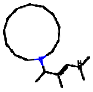 CC(=C[SiH](C)C)C(C)N1CCCCCCCCCCCC1